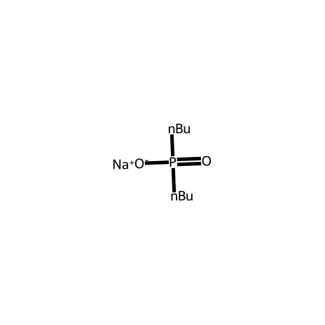 CCCCP(=O)([O-])CCCC.[Na+]